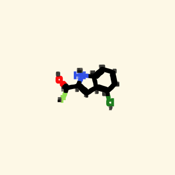 O=C(F)c1cc2c(Cl)cccc2[nH]1